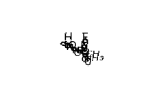 Cc1cc(C[C@@H](OC(=O)N2CCC(N3CCc4ccccc4NC3=O)CC2)C(=O)N2CCN(c3ccc(F)cc3)CC2)cc2oc(=O)[nH]c12